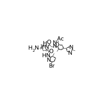 CC(=O)c1nn(CC(=O)N2[C@H](C(=O)Nc3nc(Br)ccc3C)C[C@@]3(CN)C[C@@H]23)c2c(C)cc(-c3cnc(C)nc3)cc12